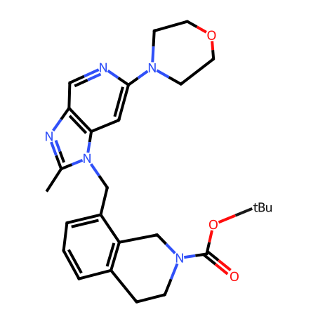 Cc1nc2cnc(N3CCOCC3)cc2n1Cc1cccc2c1CN(C(=O)OC(C)(C)C)CC2